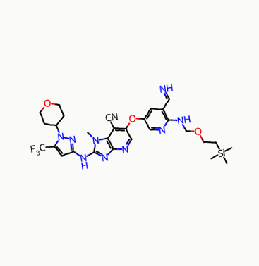 Cn1c(Nc2cc(C(F)(F)F)n(C3CCOCC3)n2)nc2ncc(Oc3cnc(NCOCC[Si](C)(C)C)c(C=N)c3)c(C#N)c21